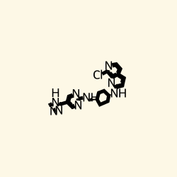 Clc1nccc2ccc(N[C@H]3CC[C@H](CNc4ncc(-c5nnc[nH]5)cn4)CC3)nc12